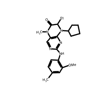 CCC1C(=O)N(C)c2cnc(Nc3ccc(C)cc3OC)nc2N1C1CCCC1